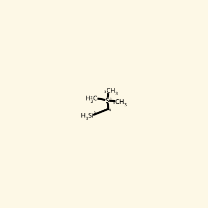 CS(C)(C)C[SiH3]